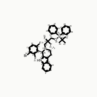 C[C@@H]1Cc2c([nH]c3ccccc23)[C@@H](c2c(F)ccc(Br)c2F)N1CC(F)(F)CO[Si](c1ccccc1)(c1ccccc1)C(C)(C)C